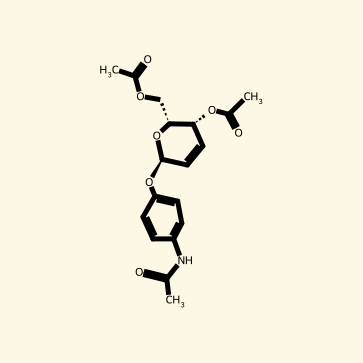 CC(=O)Nc1ccc(O[C@@H]2C=C[C@@H](OC(C)=O)[C@@H](COC(C)=O)O2)cc1